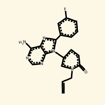 C=CCn1cc(-n2c(-c3cccc(F)c3)nc3c(N)ncnc32)ccc1=O